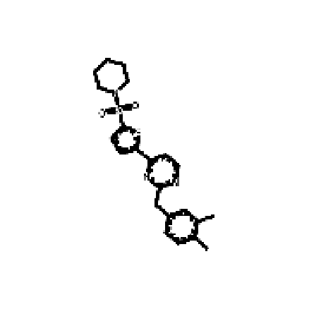 Cc1ccc(Cc2nccc(-c3ccc(S(=O)(=O)N4CCCCC4)s3)n2)cc1C